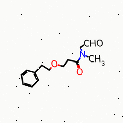 CN(CC=O)C(=O)CCOCCc1ccccc1